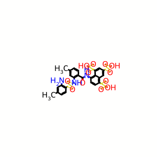 Cc1ccc(S(=O)(=O)Nc2cc(C)ccc2C(=O)Nc2ccc(S(=O)(=O)O)c3cc(S(=O)(=O)O)cc(S(=O)(=O)O)c23)c(N)c1